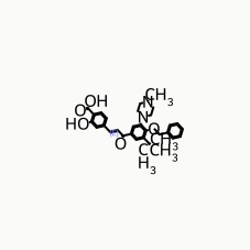 CN1CCN(c2cc(C(=O)/C=C/c3ccc(C(=O)O)c(O)c3)cc(C(C)(C)C)c2OCc2ccccc2)CC1